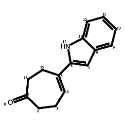 O=C1CCC=C(c2cc3ccccc3[nH]2)CC1